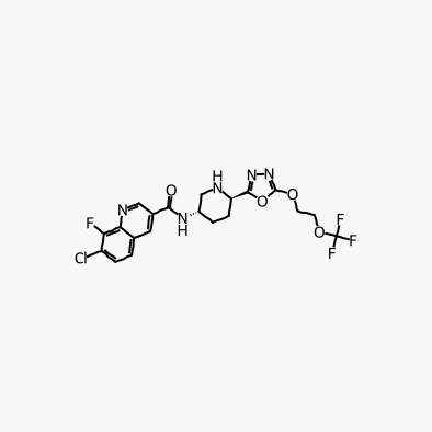 O=C(N[C@H]1CC[C@H](c2nnc(OCCOC(F)(F)F)o2)NC1)c1cnc2c(F)c(Cl)ccc2c1